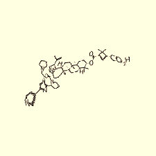 C=C(C)[C@@H]1CC[C@]2(C(=O)N3CCC[C@H]3c3nc(-c4ccncc4)cn3CCN3CCCC3)CC[C@]3(C)[C@H](CC[C@@]4(C)[C@@]3(C)CC[C@H]3C(C)(C)[C@@H](OC(=O)[C@H]5C[C@@H](C(=O)O)C5(C)C)CC[C@@]34C)[C@@H]12